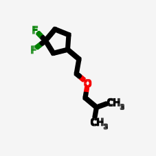 CC(C)COCCC1CCC(F)(F)C1